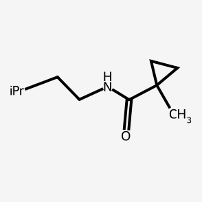 CC(C)CCNC(=O)C1(C)CC1